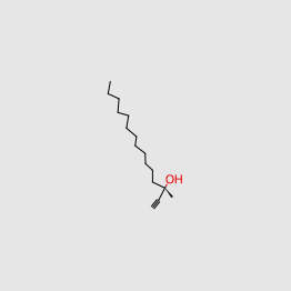 C#C[C@@](C)(O)CCCCCCCCCCCC